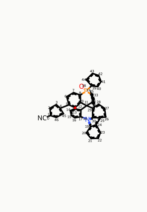 N#Cc1ccc(-c2ccc3c(c2)C2(c4ccccc4-n4c5ccccc5c5cccc2c54)c2ccccc2P3(=O)c2ccccc2)cc1